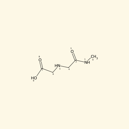 CNC(=O)CNCC(=O)O